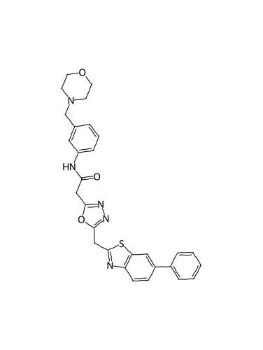 O=C(Cc1nnc(Cc2nc3ccc(-c4ccccc4)cc3s2)o1)Nc1cccc(CN2CCOCC2)c1